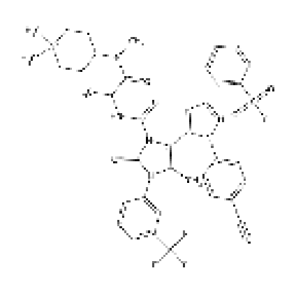 Cc1c(-c2ccnn2-c2ccc(C#N)cc2)n(C(=O)NC(C)C(=O)N(C)C2CC[N+](C)(C)CC2)c(=O)n1-c1cccc(C(F)(F)F)c1.O=S(=O)([O-])c1ccccc1